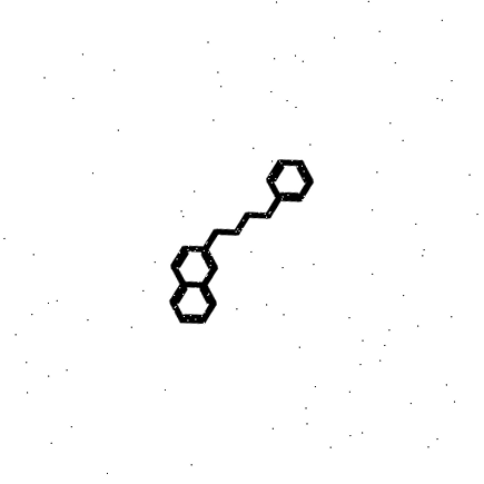 c1ccc(CCCCc2ccc3ccccc3c2)cc1